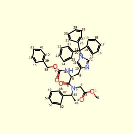 COC(=O)CN(C(=O)[C@H](Cc1cn(C(c2ccccc2)(c2ccccc2)c2ccccc2)cn1)NC(=O)OCc1ccccc1)[C@@H](C)c1ccccc1